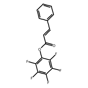 O=C(C=Cc1ccccc1)Oc1c(F)c(F)c(F)c(F)c1F